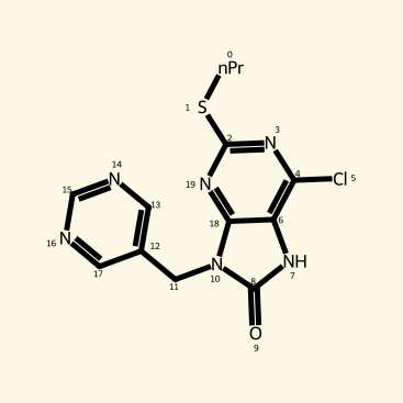 CCCSc1nc(Cl)c2[nH]c(=O)n(Cc3cncnc3)c2n1